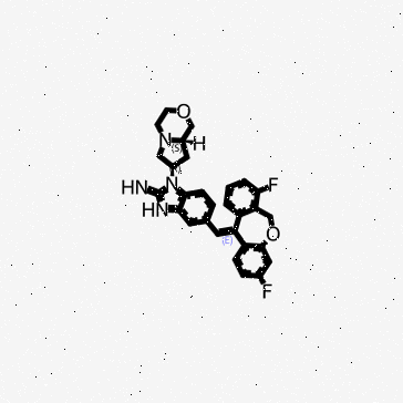 N=c1[nH]c2cc(/C=C3/c4ccc(F)cc4OCc4c(F)cccc43)ccc2n1[C@@H]1C[C@H]2COCCN2C1